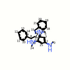 CNC1=C[C](NC)([Zn]([CH2]c2ccccc2)[CH2]c2ccccc2)C(NC)=C1